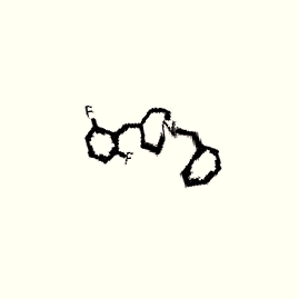 Fc1cccc(F)c1CC1CCN(Cc2ccccc2)CC1